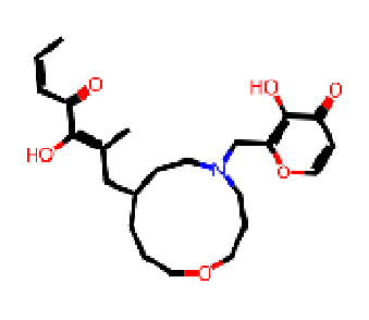 C/C=C\C(=O)/C(O)=C(\C)CC1CCCOCCCN(Cc2occc(=O)c2O)CC1